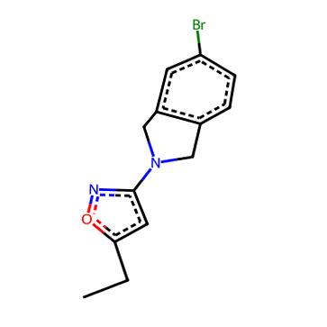 CCc1cc(N2Cc3ccc(Br)cc3C2)no1